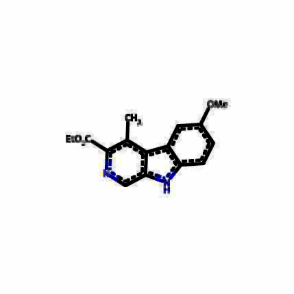 CCOC(=O)c1ncc2[nH]c3ccc(OC)cc3c2c1C